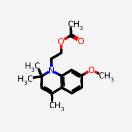 COc1ccc2c(c1)N(CCOC(C)=O)C(C)(C)C=C2C